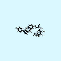 CN(C(=O)COc1cccc(C(=O)c2cnn(-c3ccc(F)cc3)c2N)c1)C1O[C@H](CO)[C@@H](O)[C@H](O)[C@@H]1O